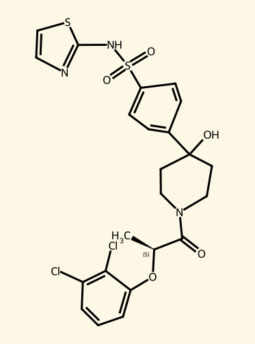 C[C@H](Oc1cccc(Cl)c1Cl)C(=O)N1CCC(O)(c2ccc(S(=O)(=O)Nc3nccs3)cc2)CC1